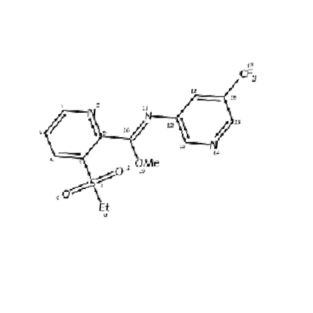 CCS(=O)(=O)c1cccnc1/C(=N/c1cncc(C(F)(F)F)c1)OC